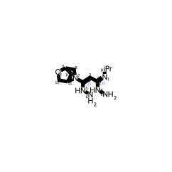 CC(C)/N=C(\C=C(/NN)N1CC2CC1CO2)NN